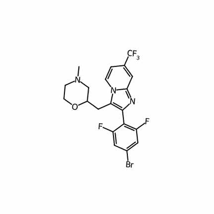 CN1CCOC(Cc2c(-c3c(F)cc(Br)cc3F)nc3cc(C(F)(F)F)ccn23)C1